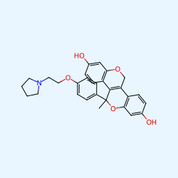 CC1(c2ccc(OCCN3CCCC3)cc2)Oc2cc(O)ccc2C2=C1c1ccc(O)cc1OC2